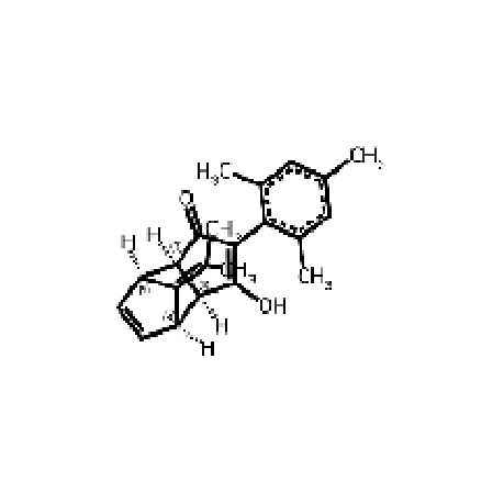 CC(C)=C1[C@H]2C=C[C@@H]1[C@@H]1C(O)=C(c3c(C)cc(C)cc3C)C(=O)[C@@H]12